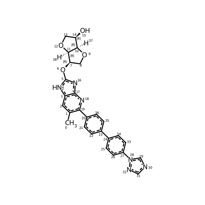 Cc1cc2[nH]c(O[C@@H]3CO[C@H]4[C@@H]3OC[C@H]4O)nc2nc1-c1ccc(-c2ccc(-n3cncn3)cc2)cc1